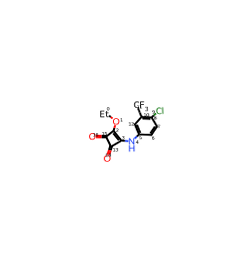 CCOc1c(Nc2ccc(Cl)c(C(F)(F)F)c2)c(=O)c1=O